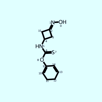 ON=C1CC(NC(=S)OC2=CCCC=C2)C1